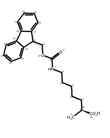 C[C@@H](CCCCCNC(=O)OCC1c2ccccc2-c2ccccc21)C(=O)O